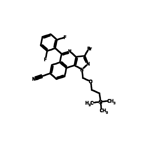 C[Si](C)(C)CCOCn1nc(Br)c2nc(-c3c(F)cccc3F)c3cc(C#N)ccc3c21